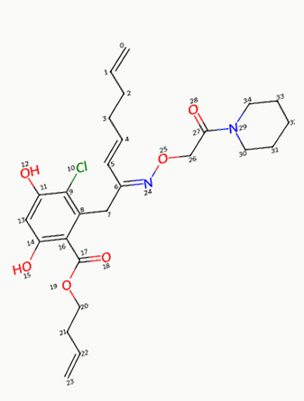 C=CCC/C=C/C(Cc1c(Cl)c(O)cc(O)c1C(=O)OCCC=C)=N\OCC(=O)N1CCCCC1